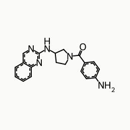 Nc1ccc(C(=O)N2CCC(Nc3ncc4ccccc4n3)C2)cc1